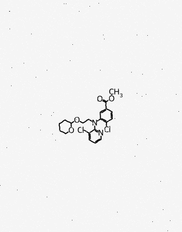 COC(=O)c1ccc(Cl)c(N(CCOC2CCCCO2)c2ncccc2Cl)c1